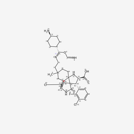 CC1(CC/N=C(\OC=N)[C@H]2CC[C@H](N)CC2)CCC2(CC1)N[C@@H](C(=O)O)[C@H](c1cccc(Cl)c1F)C21C(=O)Nc2cc(Cl)ccc21